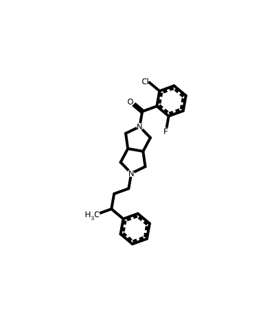 CC(CCN1CC2CN(C(=O)c3c(F)cccc3Cl)CC2C1)c1ccccc1